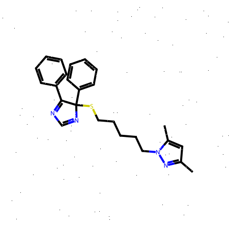 Cc1cc(C)n(CCCCCSC2(c3ccccc3)N=CN=C2c2ccccc2)n1